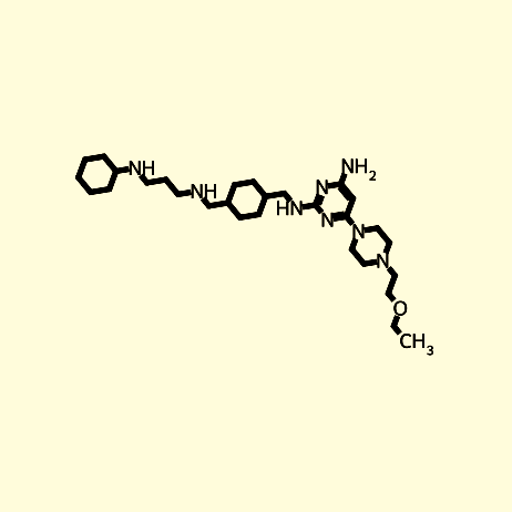 CCOCCN1CCN(c2cc(N)nc(NCC3CCC(CNCCCNC4CCCCC4)CC3)n2)CC1